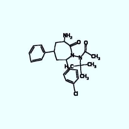 CC(=O)N(N1C(=O)C(N)CC(c2ccccc2)CC1c1ccc(Cl)cc1)C(C)(C)C